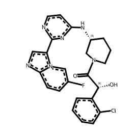 O=C([C@H](O)c1ccccc1Cl)N1CCC[C@@H](Nc2ccnc(-c3cnc4ccc(F)cn34)n2)C1